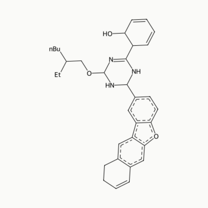 CCCCC(CC)COC1N=C(C2C=CC=CC2O)NC(c2ccc3oc4cc5c(cc4c3c2)CCC=C5)N1